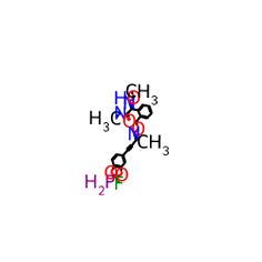 CNC(=O)/C(=N/OC)c1ccccc1CO/N=C(\C)C#Cc1ccc2c(c1)OC(F)(P)O2